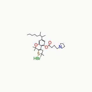 Br.CCCCCC(C)C(C)c1cc(OC(=O)CCCN2CCCC2)c2c(c1)OC(C)(C)C1=C2CC(C)(C)S1